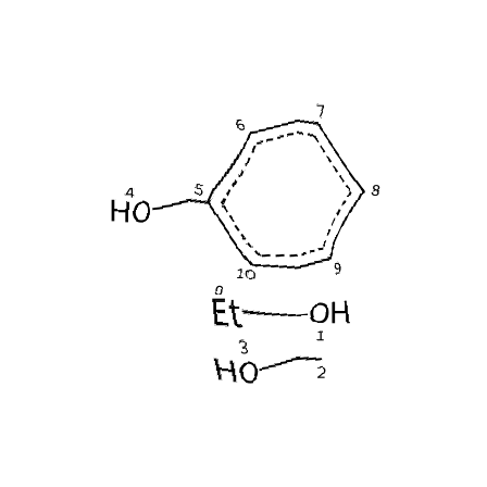 CCO.CO.Oc1ccccc1